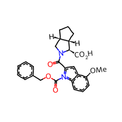 COc1cccc2c1cc(C(=O)N1C[C@@H]3CCC[C@@H]3[C@H]1C(=O)O)n2C(=O)OCc1ccccc1